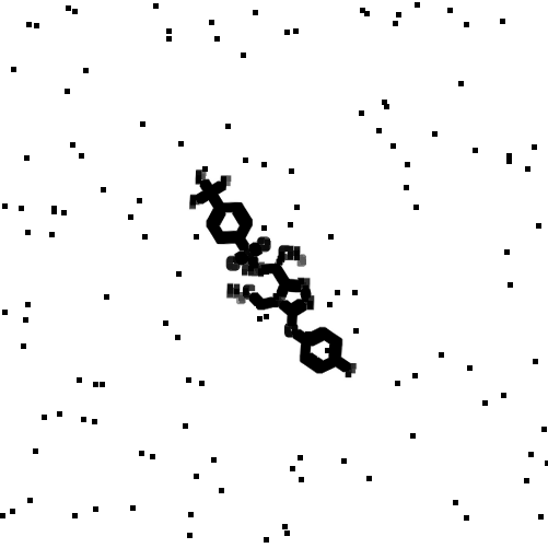 CCn1c(Oc2ccc(F)cc2)nnc1[C@@H](C)NS(=O)(=O)c1ccc(C(F)(F)F)cc1